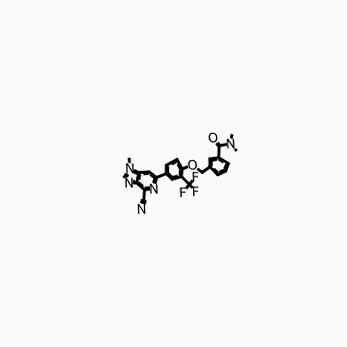 CN(C)C(=O)c1cccc(COc2ccc(-c3cc4c(ncn4C)c(C#N)n3)cc2C(F)(F)F)c1